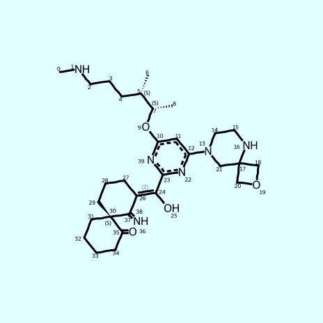 CNCCC[C@H](C)[C@H](C)Oc1cc(N2CCNC3(COC3)C2)nc(/C(O)=C2\CCC[C@@]3(CCCCC3=O)C2=N)n1